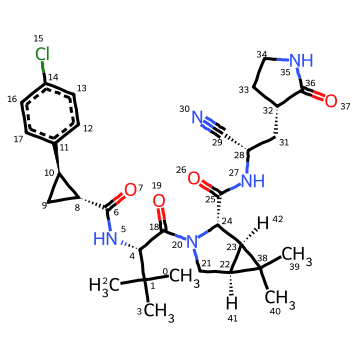 CC(C)(C)[C@H](NC(=O)[C@@H]1C[C@H]1c1ccc(Cl)cc1)C(=O)N1C[C@H]2[C@@H]([C@H]1C(=O)N[C@H](C#N)C[C@@H]1CCNC1=O)C2(C)C